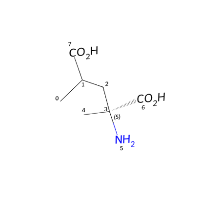 CC(C[C@](C)(N)C(=O)O)C(=O)O